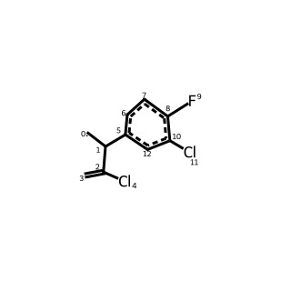 [CH2]C(C(=C)Cl)c1ccc(F)c(Cl)c1